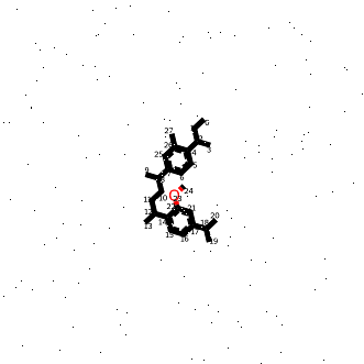 CCC(C)c1ccc(C(C)CCC(C)c2ccc(C(C)C)cc2OC)cc1C